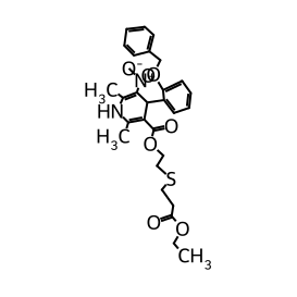 CCOC(=O)CCSCCOC(=O)C1=C(C)NC(C)=C([N+](=O)[O-])C1c1ccccc1OCc1ccccc1